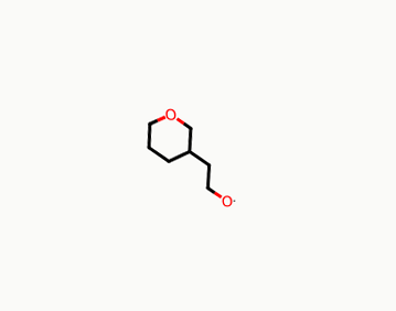 [O]CCC1CCCOC1